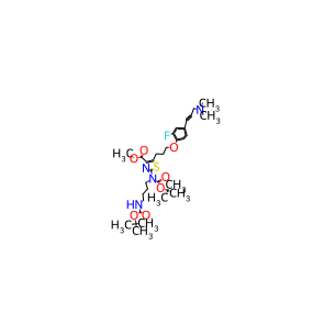 COC(=O)c1nc(N(CCCCNC(=O)OC(C)(C)C)C(=O)OC(C)(C)C)sc1CCCOc1ccc(C#CCN(C)C)cc1F